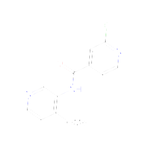 COc1ccncc1NC(=O)c1ccnc(Cl)c1